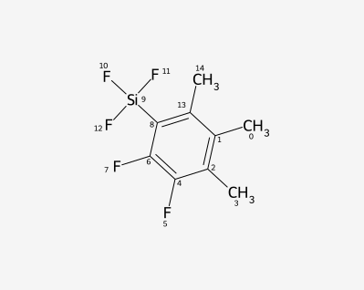 Cc1c(C)c(F)c(F)c([Si](F)(F)F)c1C